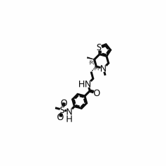 C[C@H]1c2sccc2CN(C)[C@@H]1CCNC(=O)c1ccc(NS(C)(=O)=O)cc1